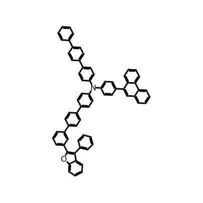 c1ccc(-c2ccc(-c3ccc(N(c4ccc(-c5ccc(-c6cccc(-c7oc8ccccc8c7-c7ccccc7)c6)cc5)cc4)c4ccc(-c5cc6ccccc6c6ccccc56)cc4)cc3)cc2)cc1